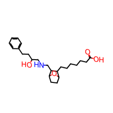 O=C(O)CCCCCCC1C2CCC(O2)C1CNCC(O)CCc1ccccc1